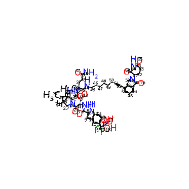 CCCC[C@H](NC(=O)c1cc2cc(C(F)(F)P(=O)(O)O)ccc2[nH]1)C(=O)N1C[C@@H]2[C@H](C)[C@@H]2[C@@H]1C(=O)N[C@@H](CCC(N)=O)C(=O)NCCCCCCC#Cc1cccc2c1CN(C1CCC(=O)NC1=O)C2=O